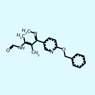 C/N=C(\C(C)=C(/C)NC=O)c1ccc(OCc2ccccc2)nc1